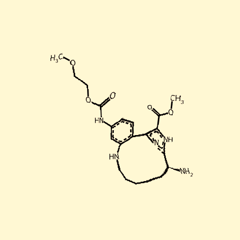 COCCOC(=O)Nc1ccc2c(c1)NCCCCC[C@H](N)c1nc-2c(C(=O)OC)[nH]1